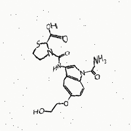 NC(=O)n1cc(NC(=O)N2CCS[C@H]2C(=O)O)c2cc(OCCO)ccc21